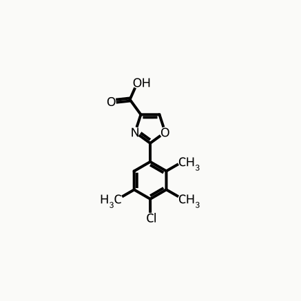 Cc1cc(-c2nc(C(=O)O)co2)c(C)c(C)c1Cl